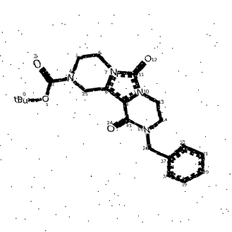 CC(C)(C)OC(=O)N1CCn2c(c3n(c2=O)CCN(Cc2ccccc2)C3=O)C1